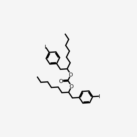 CCCCCCC(Cc1ccc(I)cc1)OC(=O)OC(CCCCCC)Cc1ccc(I)cc1